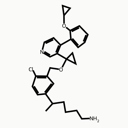 CC(CCCCN)c1ccc(Cl)c(COC2(c3cnccc3-c3ccccc3OC3CC3)CC2)c1